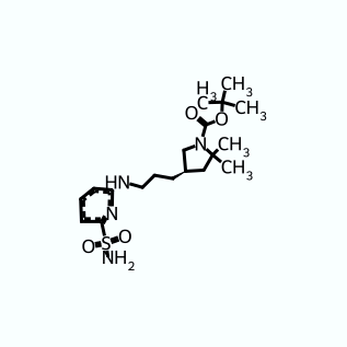 CC(C)(C)OC(=O)N1C[C@H](CCCNc2cccc(S(N)(=O)=O)n2)CC1(C)C